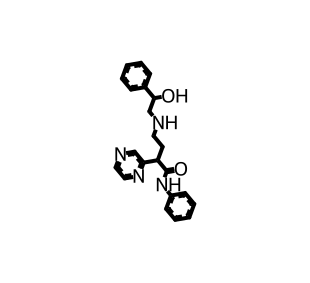 O=C(Nc1ccccc1)C(CCNCC(O)c1ccccc1)c1cnccn1